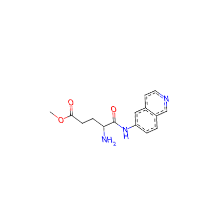 COC(=O)CCC(N)C(=O)Nc1ccc2cnccc2c1